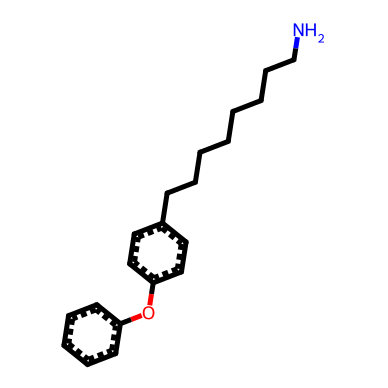 NCCCCCCCCc1ccc(Oc2ccccc2)cc1